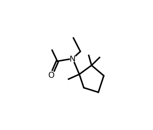 CCN(C(C)=O)C1(C)CCCC1(C)C